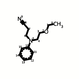 CCOCCN(CCC#N)c1ccccc1